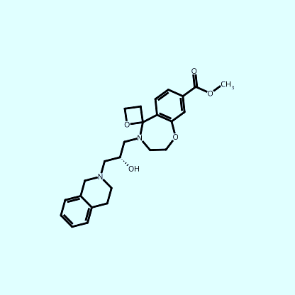 COC(=O)c1ccc2c(c1)OCCN(C[C@H](O)CN1CCc3ccccc3C1)C21CCO1